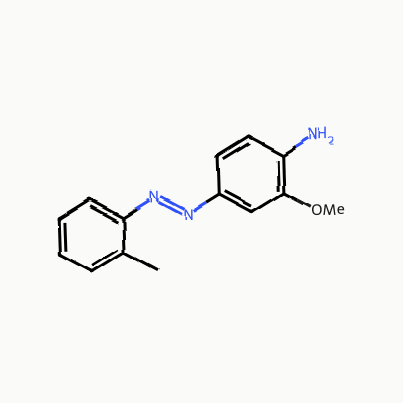 COc1cc(/N=N/c2ccccc2C)ccc1N